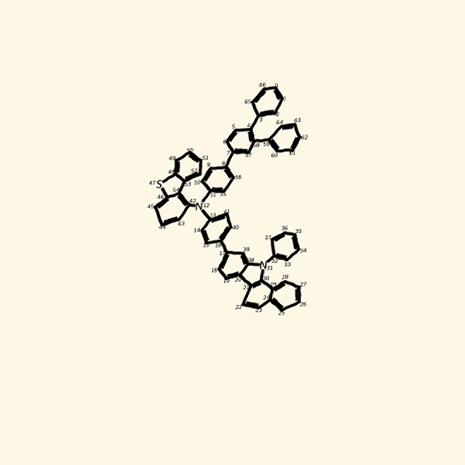 c1ccc(-c2ccc(-c3ccc(N(c4ccc(-c5ccc6c7ccc8ccccc8c7n(-c7ccccc7)c6c5)cc4)c4cccc5sc6ccccc6c45)cc3)cc2-c2ccccc2)cc1